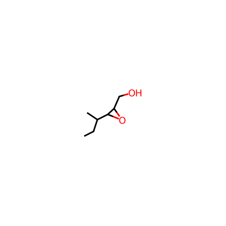 CCC(C)C1OC1CO